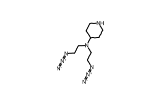 [N-]=[N+]=NCCN(CCN=[N+]=[N-])C1CCNCC1